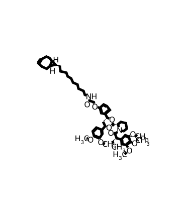 CC[C@H](C(=O)N1CCCC[C@H]1C(=O)O[C@H](CCc1ccc(OC)c(OC)c1)c1cccc(OCC(=O)NCCCCCCCCCC[C@@H]2[C@@H]3CCC#CCC[C@@H]32)c1)c1cc(OC)c(OC)c(OC)c1